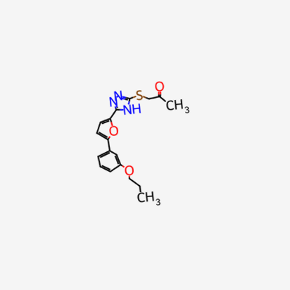 CCCOc1cccc(-c2ccc(-c3nnc(SCC(C)=O)[nH]3)o2)c1